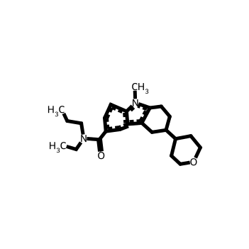 CCCN(CC)C(=O)c1ccc2c(c1)c1c(n2C)CCC(C2CCOCC2)C1